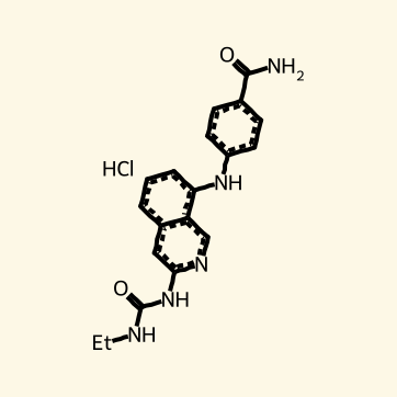 CCNC(=O)Nc1cc2cccc(Nc3ccc(C(N)=O)cc3)c2cn1.Cl